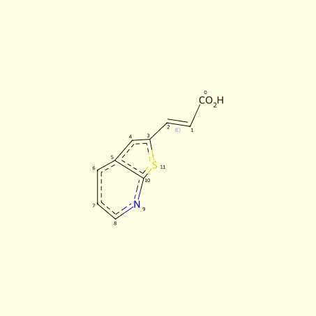 O=C(O)/C=C/c1cc2cccnc2s1